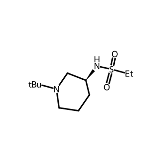 CCS(=O)(=O)N[C@H]1CCCN(C(C)(C)C)C1